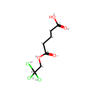 O=C(O)CCCC(=O)OCC(Cl)(Cl)Cl